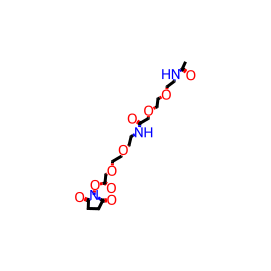 CC(=O)NCCOCCOCC(=O)NCCOCCOCC(=O)ON1C(=O)CCC1=O